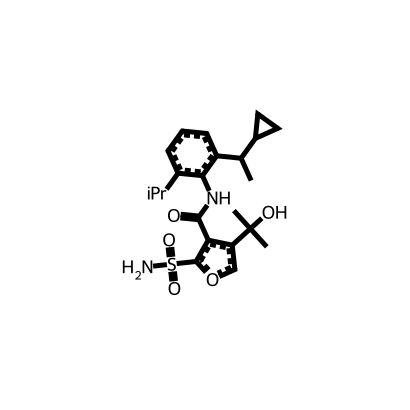 CC(C)c1cccc(C(C)C2CC2)c1NC(=O)c1c(C(C)(C)O)coc1S(N)(=O)=O